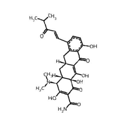 CC(C)C(=O)/C=C/c1ccc(O)c2c1C[C@H]1C[C@H]3[C@H](N(C)C)C(O)=C(C(N)=O)C(=O)[C@@]3(O)C(O)=C1C2=O